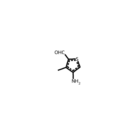 Cc1c(N)csc1C=O